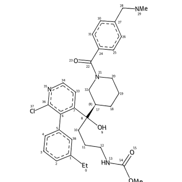 CCc1cccc(-c2c(C(O)(CCCNC(=O)OC)[C@@H]3CCCN(C(=O)c4ccc(CNC)cc4)C3)ccnc2Cl)c1